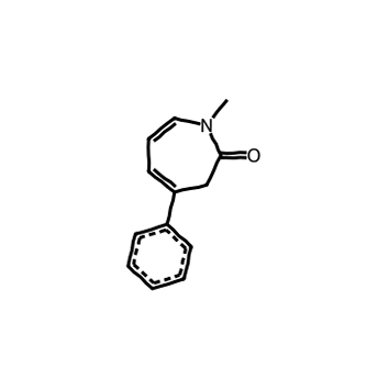 CN1C=CC=C(c2ccccc2)CC1=O